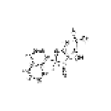 CCS(=O)(=O)NC1=C(O)C(=O)C(C)(c2ccnc3ccccc23)O1